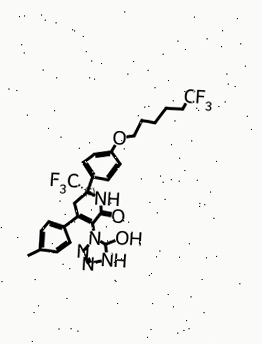 Cc1ccc(C2=C(N3N=NNC3O)C(=O)N[C@@](c3ccc(OCCCCCC(F)(F)F)cc3)(C(F)(F)F)C2)cc1